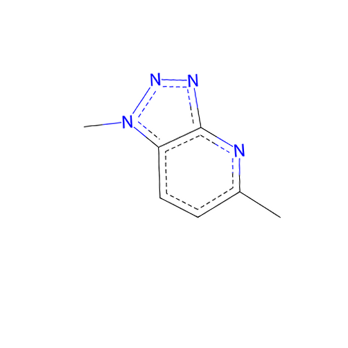 Cc1ccc2c(nnn2C)n1